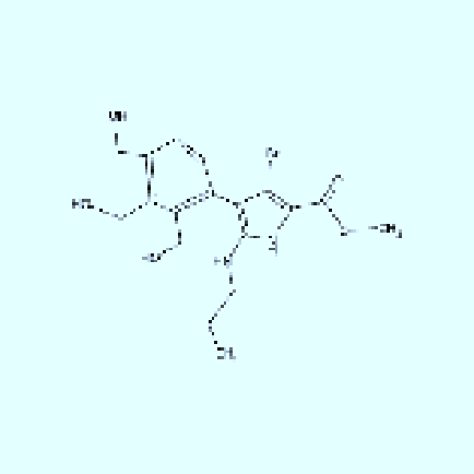 CCCNc1[nH]c(C(=O)OC)c(Br)c1-c1ccc(CO)c(CO)c1CO